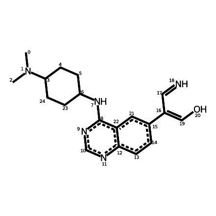 CN(C)C1CCC(Nc2ncnc3ccc(/C(C=N)=C/O)cc23)CC1